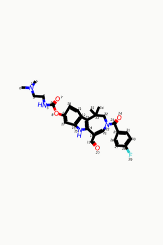 CN(C)CCNC(=O)Oc1ccc2c3c([nH]c2c1)C(C=O)=CN(C(=O)c1ccc(F)cc1)CC3(C)C